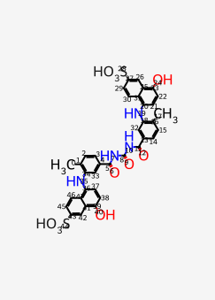 Cc1ccc(C(=O)NC(=O)NC(=O)c2ccc(C)c(Nc3ccc(O)c4cc(S(=O)(=O)O)ccc34)c2)cc1Nc1ccc(O)c2cc(S(=O)(=O)O)ccc12